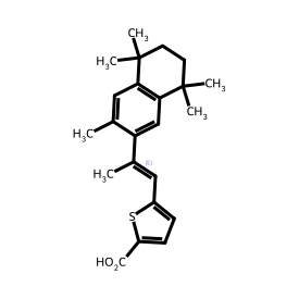 C/C(=C\c1ccc(C(=O)O)s1)c1cc2c(cc1C)C(C)(C)CCC2(C)C